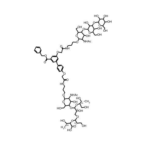 CC(=O)NC1C(OCCCNC(=O)COc2cc(C(=O)OCc3ccccc3)cc(-c3ccc(OCC(=O)NCCCOC4OC(CO)C(OC(OC(CO)[C@@H](C)O)[C@@H](O)COC(OC(CO)[C@@H](C)O)[C@@H](O)CO)C(O)C4NC(C)=O)cc3)c2)OC(CO)C(OC2OC(CO)C(O)C(OC3OC(CO)C(O)C(O)C3O)C2O)C1O